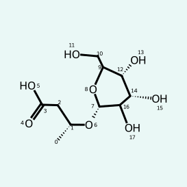 C[C@H](CC(=O)O)O[C@@H]1OC(CO)[C@H](O)[C@H](O)C1O